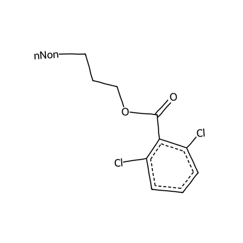 CCCCCCCCCCCCOC(=O)c1c(Cl)cccc1Cl